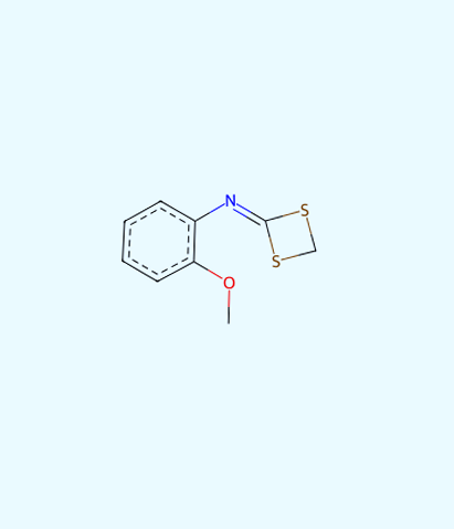 COc1ccccc1N=C1SCS1